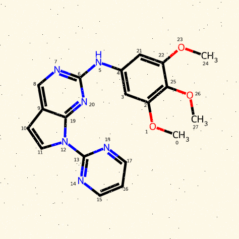 COc1cc(Nc2ncc3ccn(-c4ncccn4)c3n2)cc(OC)c1OC